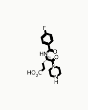 O=C(O)CC[C@H](NC(=O)c1ccc(F)cc1)C(=O)N1CCNCC1